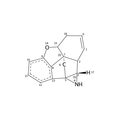 C1=CC2[C@@H]3NC34C[C@@]23c2c(cccc24)OC3C1